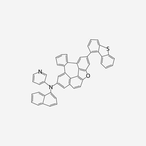 c1cncc(N(c2cc3c4c(ccc5oc6cc(-c7cccc8sc9ccccc9c78)cc(c6c54)-c4ccccc4-3)c2)c2cccc3ccccc23)c1